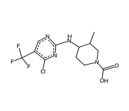 CC1CN(C(=O)O)CCC1Nc1ncc(C(F)(F)F)c(Cl)n1